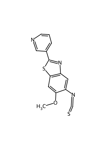 COc1cc2sc(-c3cccnc3)nc2cc1N=C=S